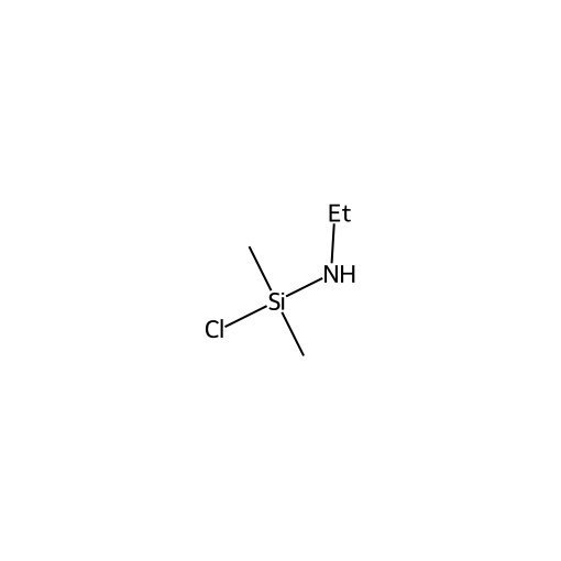 CCN[Si](C)(C)Cl